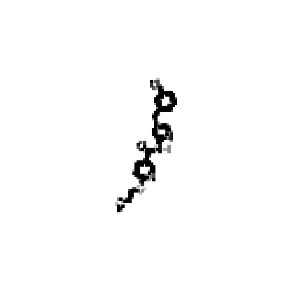 COCCOc1ccc(C(=O)Nc2cn(Cc3cccc(Cl)c3)cn2)cn1